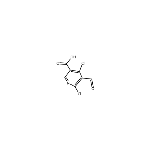 O=Cc1c(Cl)ncc(C(=O)O)c1Cl